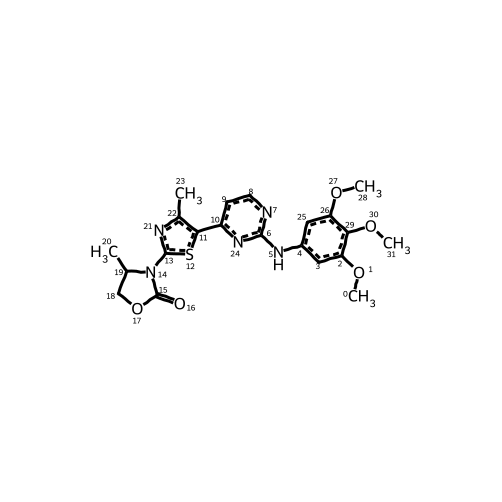 COc1cc(Nc2nccc(-c3sc(N4C(=O)OCC4C)nc3C)n2)cc(OC)c1OC